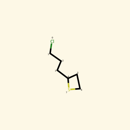 ClCCCC1CCS1